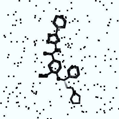 COc1cc(C(=O)Nc2nnc(-c3ccncc3)s2)ccc1O[C@@H](CCN1CCCC1)c1ccccc1